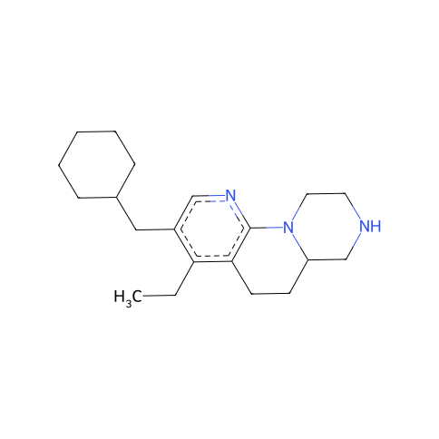 CCc1c(CC2CCCCC2)cnc2c1CCC1CNCCN21